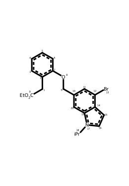 CCOC(=O)Cc1ccccc1OCc1cc(Br)c2ccn(C(C)C)c2c1